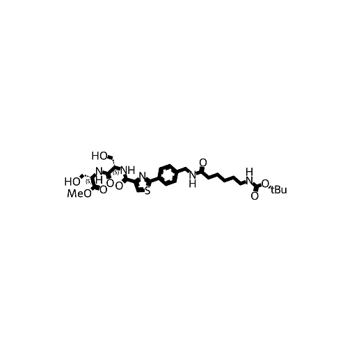 COC(=O)[C@H](CO)NC(=O)[C@H](CO)NC(=O)c1csc(-c2ccc(CNC(=O)CCCCCNC(=O)OC(C)(C)C)cc2)n1